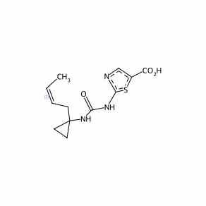 C/C=C\CC1(NC(=O)Nc2ncc(C(=O)O)s2)CC1